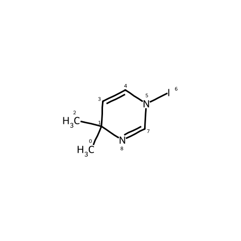 CC1(C)C=CN(I)C=N1